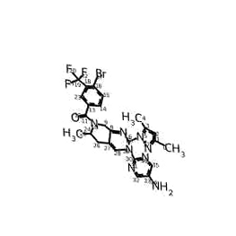 Cc1cc(C)n([C@@H]2N=C3CN(C(=O)c4ccc(Br)c(C(F)(F)F)c4)C(C)CC3=CN2c2ncc(N)cn2)n1